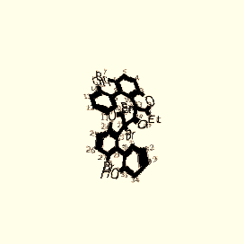 CCC1Oc2ccc(Br)c(-c3ccccc3O)c2C1(Br)C(=O)C1(Br)c2c(ccc(Br)c2-c2ccccc2O)OC1CC